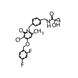 Cc1cc(OCc2ccc(F)cc2F)c(Cl)c(=O)n1Cc1ccc(CNC(=O)C2(O)CC2)cc1